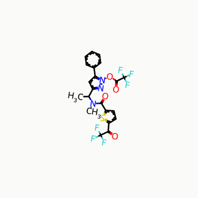 CC(c1cc(-c2ccccc2)n(OC(=O)C(F)(F)F)n1)N(C)C(=O)c1ccc(C(=O)C(F)(F)F)s1